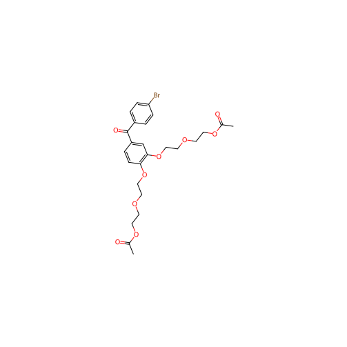 CC(=O)OCCOCCOc1ccc(C(=O)c2ccc(Br)cc2)cc1OCCOCCOC(C)=O